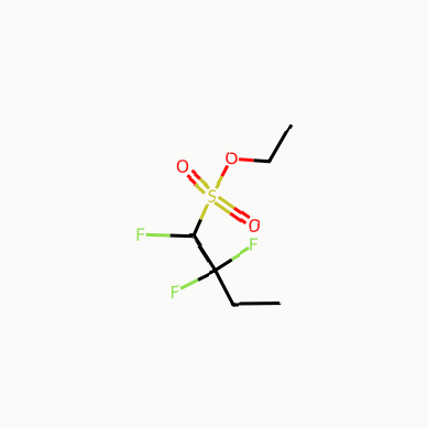 CCOS(=O)(=O)C(F)C(F)(F)CC